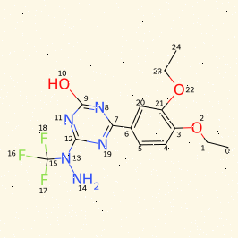 CCOc1ccc(-c2nc(O)nc(N(N)C(F)(F)F)n2)cc1OCC